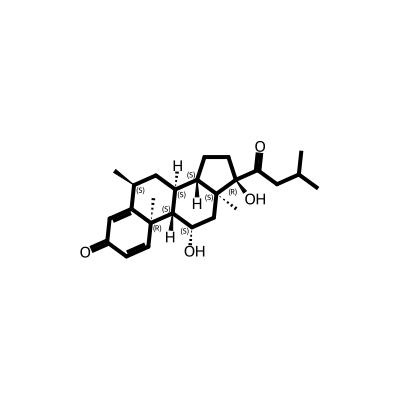 CC(C)CC(=O)[C@@]1(O)CC[C@H]2[C@@H]3C[C@H](C)C4=CC(=O)C=C[C@]4(C)[C@H]3[C@@H](O)C[C@@]21C